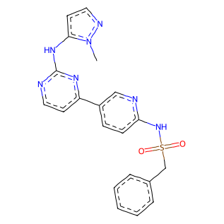 Cn1nccc1Nc1nccc(-c2ccc(NS(=O)(=O)Cc3ccccc3)nc2)n1